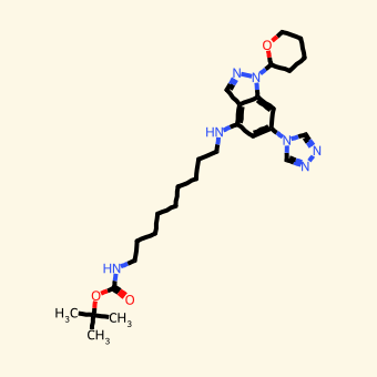 CC(C)(C)OC(=O)NCCCCCCCCCNc1cc(-n2cnnc2)cc2c1cnn2C1CCCCO1